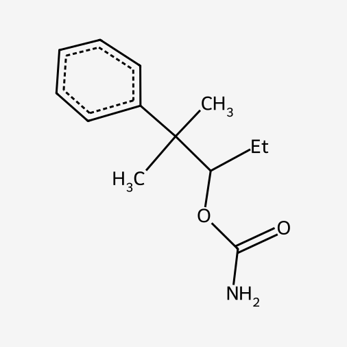 CCC(OC(N)=O)C(C)(C)c1ccccc1